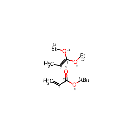 C=CC(=O)OC(C)(C)C.CC=C(OCC)OCC